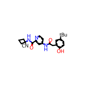 CC(C)(C)c1ccc(O)c(CC(=O)Nc2ccnc(C(=O)NC3(C#N)CCC3)c2)c1